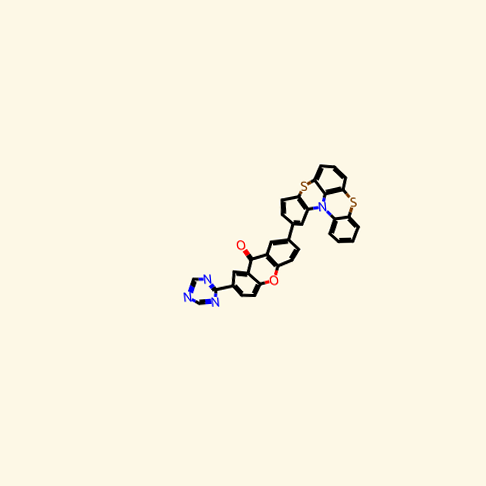 O=c1c2cc(-c3ccc4c(c3)N3c5ccccc5Sc5cccc(c53)S4)ccc2oc2ccc(-c3ncncn3)cc12